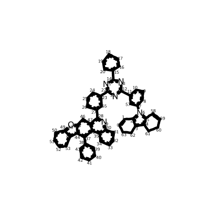 C1=Cc2c(c3c(n2-c2cccc(-c4nc(-c5ccccc5)nc(-c5cccc(-c6nc7ccccc7c7c(-c8ccccc8)c8c(cc67)oc6ccccc68)c5)n4)c2)C=CCC3)CC1